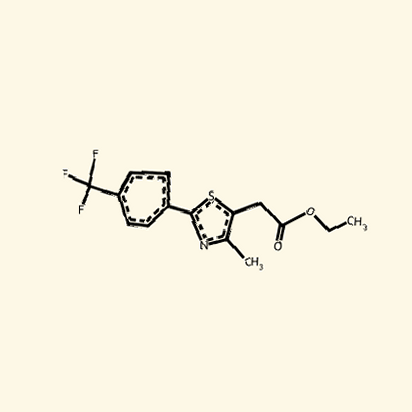 CCOC(=O)Cc1sc(-c2ccc(C(F)(F)F)cc2)nc1C